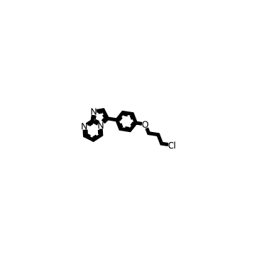 ClCCCOc1ccc(-c2cnc3ncccn23)cc1